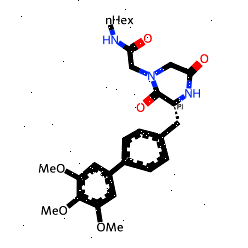 CCCCCCNC(=O)CN1CC(=O)N[C@H](Cc2ccc(-c3cc(OC)c(OC)c(OC)c3)cc2)C1=O